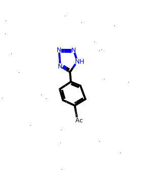 [CH2]C(=O)c1ccc(-c2nnn[nH]2)cc1